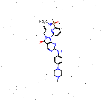 C=CCn1c(=O)c2cnc(Nc3ccc(N4CCN(C)CC4)cc3)nc2n1-c1cccc(S(C)(=O)=NC(=O)O)n1